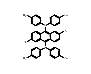 CCCCc1ccc(N(c2ccc(C)cc2)c2c3ccc(C(C)(C)C)cc3c(N(c3ccc(C)cc3)c3ccc(CCCC)cc3)c3ccc(C(C)(C)C)cc23)cc1